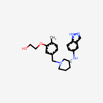 Cc1ccc(CN2CCC[C@@H](Nc3ccc4[nH]ncc4c3)C2)cc1OCCO